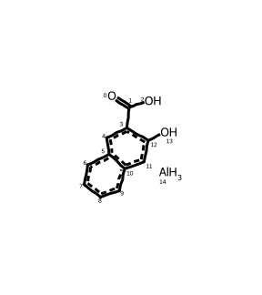 O=C(O)c1cc2ccccc2cc1O.[AlH3]